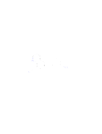 N#Cc1ccc(OC2CCC(N)CC2)c2cccnc12